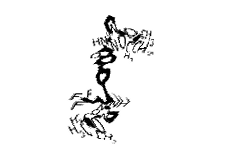 CC(C)(C)OC(=O)N1CCC[C@H]1c1nc2c([nH]1)COc1cc(-c3ccc(-c4[nH]c([C@@H]5CCCN5C(=O)OC(C)(C)C)nc4CCC(F)(F)F)cc3)ccc1-2